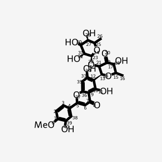 COc1ccc(-c2cc(=O)c3c(O)c([C@@H]4OC(C)[C@@H](O)C(=O)C4O[C@@H]4OC(C)[C@H](O)C(O)[C@@H]4O)c(O)cc3o2)cc1O